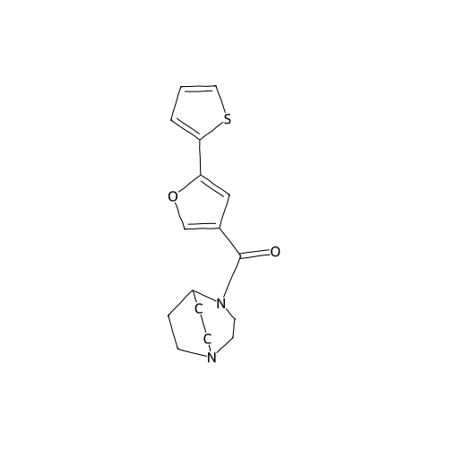 O=C(c1coc(-c2cccs2)c1)N1CCN2CCC1CC2